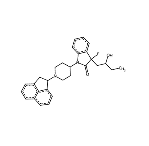 CCC(O)CC1(F)C(=O)N(C2CCN(C3Cc4cccc5cccc3c45)CC2)c2ccccc21